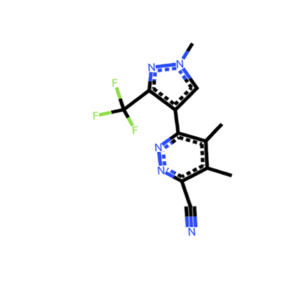 Cc1c(C#N)nnc(-c2cn(C)nc2C(F)(F)F)c1C